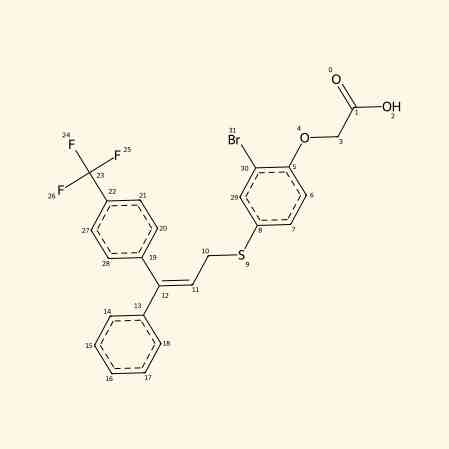 O=C(O)COc1ccc(SCC=C(c2ccccc2)c2ccc(C(F)(F)F)cc2)cc1Br